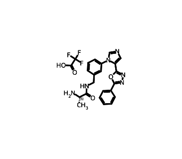 C[C@H](N)C(=O)NCc1cccc(-n2cncc2-c2nnc(-c3ccccc3)o2)c1.O=C(O)C(F)(F)F